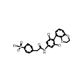 CCS(=O)(=O)c1ccc(CC(=O)Nc2cc(Cl)c(-c3cccc4c3OCCO4)c(Cl)c2)cc1